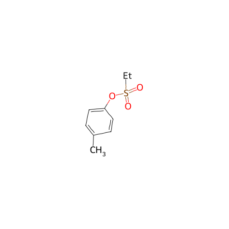 CCS(=O)(=O)Oc1ccc(C)cc1